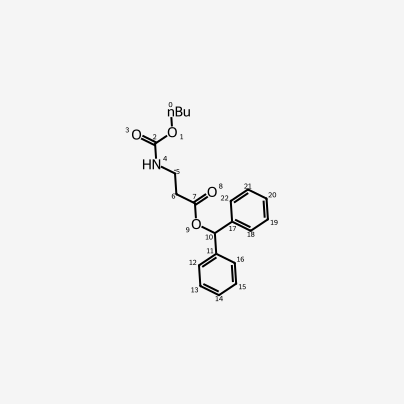 CCCCOC(=O)N[CH]CC(=O)OC(c1ccccc1)c1ccccc1